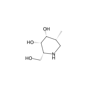 C[C@@H]1CN[C@H](CO)[C@H](O)[C@@H]1O